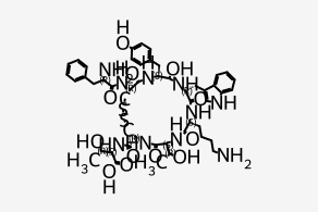 C[C@@H](O)[C@H](NC(=O)[C@@H]1CSSC[C@H](NC(=O)[C@H](N)Cc2ccccc2)C(=O)N[C@@H](Cc2ccc(O)cc2)C(O)N[C@H](Cc2c[nH]c3ccccc23)C(=O)N[C@@H](CCCCN)C(=O)N[C@@H]([C@@H](C)O)C(=O)N1)C(=O)O